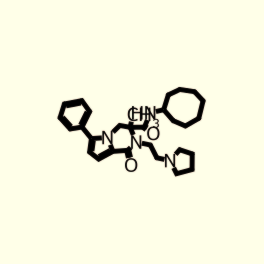 CC1(C(=O)NC2CCCCCCC2)Cn2c(ccc2-c2ccccc2)C(=O)N1CCN1CCCC1